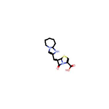 O=C(O)C1=CSC2/C(=C\C3=CN4CCCCCC4N3)C(=O)N12